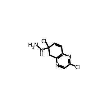 NNC1(Cl)C=Cc2nc(Cl)cnc2C1